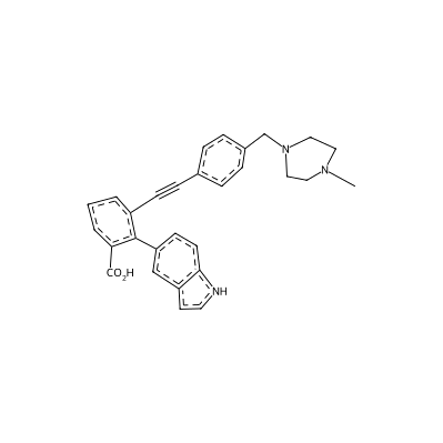 CN1CCN(Cc2ccc(C#Cc3cccc(C(=O)O)c3-c3ccc4[nH]ccc4c3)cc2)CC1